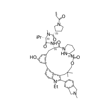 C=CC(=O)N1CC[C@H](C(=O)N(C)[C@H](C(=O)N[C@H]2Cc3cc(O)cc(c3)-c3ccc4c(c3)c(c(-c3ccc5c(c3)CN(C)C5)n4CC)CC(C)(C)COC(=O)[C@@H]3CCCN(N3)C2=O)C(C)C)C1